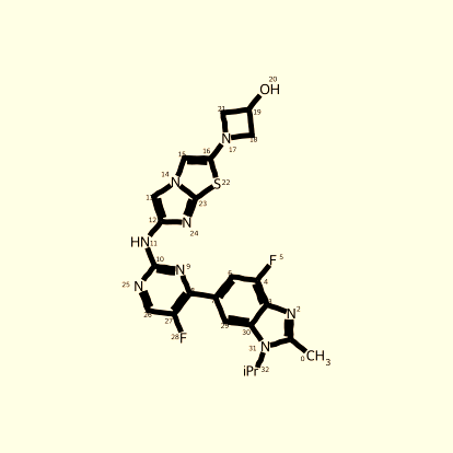 Cc1nc2c(F)cc(-c3nc(Nc4cn5cc(N6CC(O)C6)sc5n4)ncc3F)cc2n1C(C)C